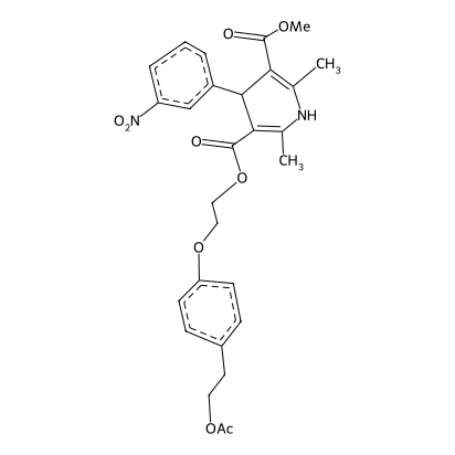 COC(=O)C1=C(C)NC(C)=C(C(=O)OCCOc2ccc(CCOC(C)=O)cc2)C1c1cccc([N+](=O)[O-])c1